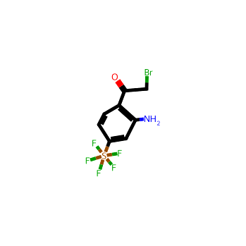 Nc1cc(S(F)(F)(F)(F)F)ccc1C(=O)CBr